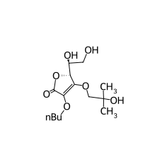 CCCCOC1=C(OCC(C)(C)O)[C@@H]([C@@H](O)CO)OC1=O